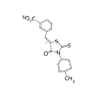 Cc1ccc(N2C(=O)/C(=C/c3cccc(C(=O)O)c3)SC2=S)cc1